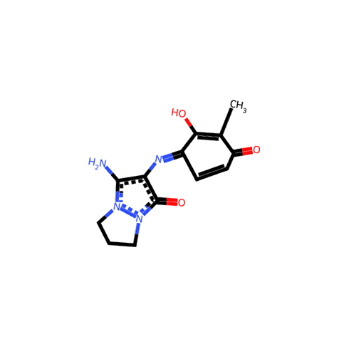 CC1=C(O)/C(=N/c2c(N)n3n(c2=O)CCC3)C=CC1=O